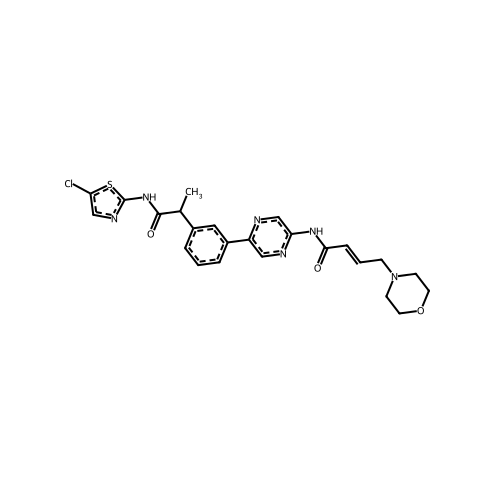 CC(C(=O)Nc1ncc(Cl)s1)c1cccc(-c2cnc(NC(=O)/C=C/CN3CCOCC3)cn2)c1